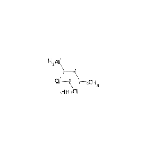 CCC[CH2][AlH2].ClCCl.[HH]